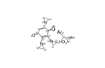 CCCCC(C(C)=O)C(=O)O.O=C1C=C(N2CC2)C(=O)C(N2CC2)=C1N1CC1